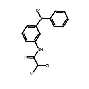 O=C(Nc1cccc([S+]([O-])c2ccccc2)c1)C(Cl)Cl